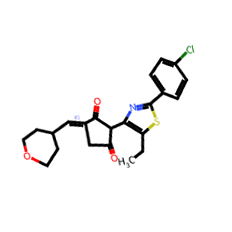 CCc1sc(-c2ccc(Cl)cc2)nc1C1C(=O)C/C(=C\C2CCOCC2)C1=O